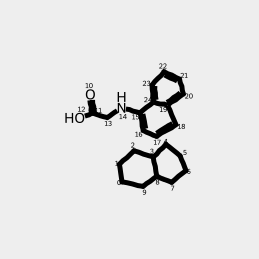 C1CCC2CCCCC2C1.O=C(O)CNc1cccc2ccccc12